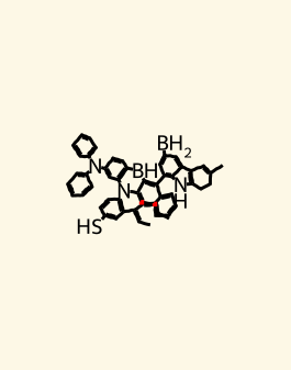 Bc1cc(-c2c3c(cc4ccccc24)N(c2ccc(S)cc2C(/C=C\CC)=C/C)c2cc(N(c4ccccc4)c4ccccc4)ccc2B3)c2[nH]c3c(c2c1)C=C(C)CC3